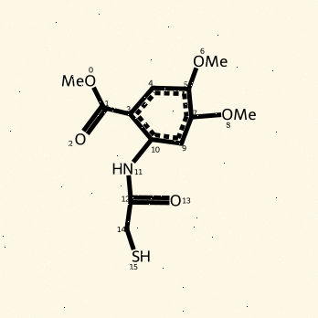 COC(=O)c1cc(OC)c(OC)cc1NC(=O)CS